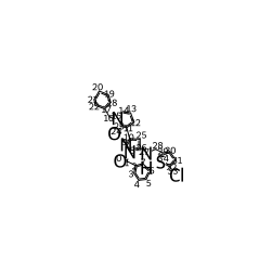 O=C(c1ccccc1)n1nc(-c2cccn(Cc3ccccc3)c2=O)cc1NCc1ccc(Cl)s1